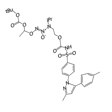 Cc1ccc(-c2cc(C)nn2-c2ccc(S(=O)(=O)NC(=O)OCCN(C(C)C)/[N+]([O-])=N/OC(C)OC(=O)OC(C)(C)C)cc2)cc1